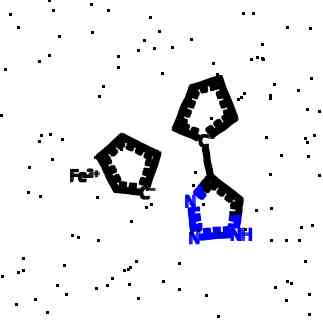 [Fe+2].c1cc[c-](-c2c[nH]nn2)c1.c1cc[cH-]c1